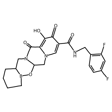 O=C(NCc1ccc(F)cc1F)c1cn2c(c(O)c1=O)C(=O)N1CC3CCCCB3OC1C2